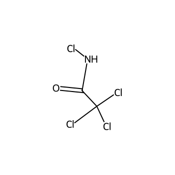 O=C(NCl)C(Cl)(Cl)Cl